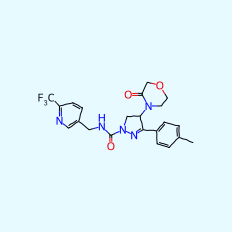 Cc1ccc(C2=NN(C(=O)NCc3ccc(C(F)(F)F)nc3)CC2N2CCOCC2=O)cc1